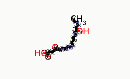 CC/C=C\CC(O)/C=C/CCC\C=C/C=C/C=C/C1OC1CCC(=O)O